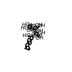 CC1O[C@@H](OC2[C@H](OC3[C@H](OC4CCC5(C)C6CC=C7C8CC(C)(C)CC(C)C8(C)CC[C@@]7(C)C6(C)CCC5[C@@]4(C)CO)OC(C(=O)O)[C@H](O)[C@H]3O)OC(CO)[C@H](O)[C@H]2O)C(O)[C@@H](O)[C@H]1O